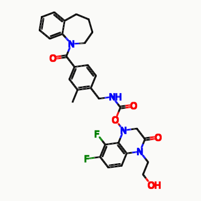 Cc1cc(C(=O)N2CCCCc3ccccc32)ccc1CNC(=O)ON1CC(=O)N(CCO)c2ccc(F)c(F)c21